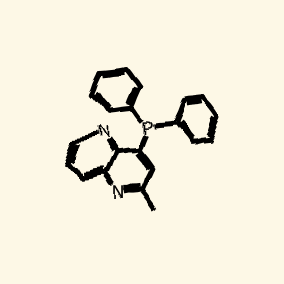 Cc1cc(P(c2ccccc2)c2ccccc2)c2ncccc2n1